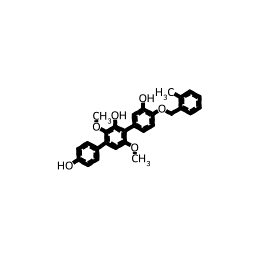 COc1cc(-c2ccc(O)cc2)c(OC)c(O)c1-c1ccc(OCc2ccccc2C)c(O)c1